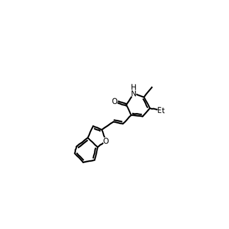 CCc1cc(C=Cc2cc3ccccc3o2)c(=O)[nH]c1C